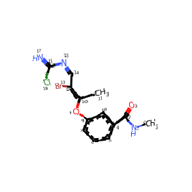 CNC(=O)c1cccc(O/C(C)=C(Br)/C=N\C(=N)Cl)c1